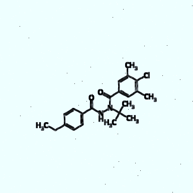 CCc1ccc(C(=O)NN(C(=O)c2cc(C)c(Cl)c(C)c2)C(C)(C)C)cc1